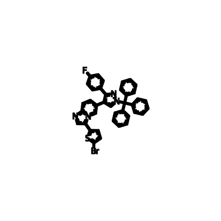 Fc1ccc(-c2nn(C(c3ccccc3)(c3ccccc3)c3ccccc3)cc2-c2ccc3ncc(-c4ccc(Br)s4)n3c2)cc1